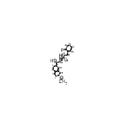 COc1ccc2ccc(C(O)CNC(=O)C=Cc3ccccc3F)cc2c1